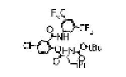 CC(C)C[C@H](NC(=O)OC(C)(C)C)C(=O)Oc1ccc(Cl)cc1C(=O)Nc1cc(C(F)(F)F)cc(C(F)(F)F)c1